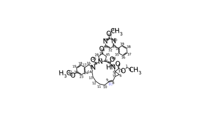 CCOC(=O)C12CC1/C=C/CCCCCN(Cc1ccc(OC)cc1)C(=O)N1CC(Oc3cc(-c4ccccc4)nc(OC)n3)CC1C(=O)N2